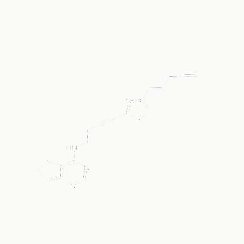 C#CCOCc1nc(C#CCCNc2ncnc3sccc23)cs1